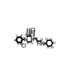 Cl.Cl.Cl.Clc1ccccc1N1CCN(CCCNC2CCCCC2)CC1